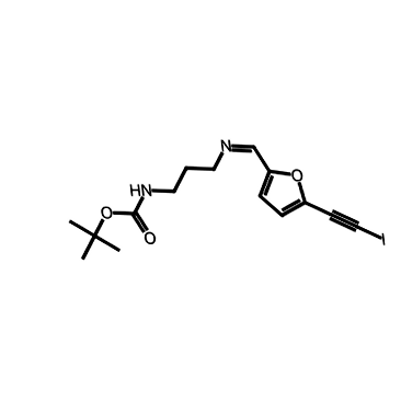 CC(C)(C)OC(=O)NCCC/N=C\c1ccc(C#CI)o1